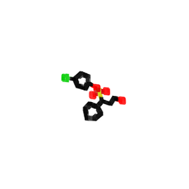 O=CCC(c1ccccc1)S(=O)(=O)Oc1ccc(Cl)cc1